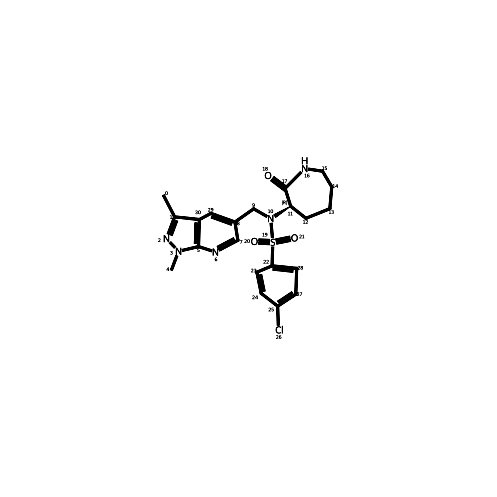 Cc1nn(C)c2ncc(CN([C@@H]3CCCCNC3=O)S(=O)(=O)c3ccc(Cl)cc3)cc12